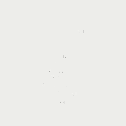 O=C1C2C3CC(C(O)C3O)C2C(=O)N1C[C@H]1C[C@@H]1CN1CCC(c2c[nH]c3ccccc23)CC1